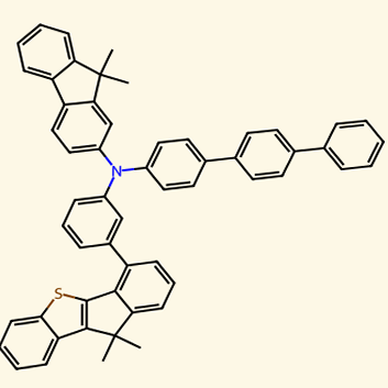 CC1(C)c2ccccc2-c2ccc(N(c3ccc(-c4ccc(-c5ccccc5)cc4)cc3)c3cccc(-c4cccc5c4-c4sc6ccccc6c4C5(C)C)c3)cc21